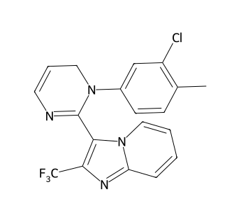 Cc1ccc(N2CC=CN=C2c2c(C(F)(F)F)nc3ccccn23)cc1Cl